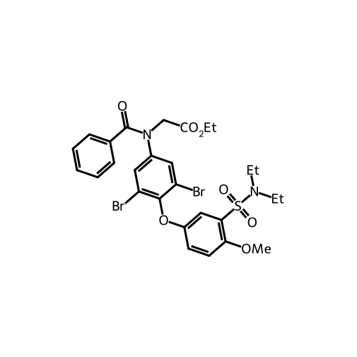 CCOC(=O)CN(C(=O)c1ccccc1)c1cc(Br)c(Oc2ccc(OC)c(S(=O)(=O)N(CC)CC)c2)c(Br)c1